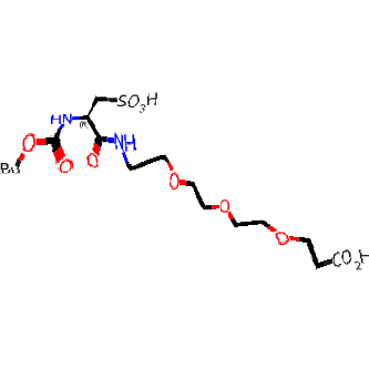 CC(C)(C)OC(=O)N[C@@H](CS(=O)(=O)O)C(=O)NCCOCCOCCOCCC(=O)O